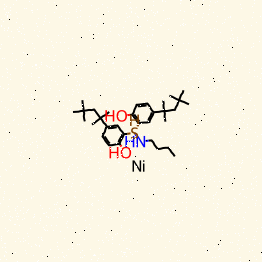 CCCCN[SH](c1cc(C(C)(C)CC(C)(C)C)ccc1O)c1cc(C(C)(C)CC(C)(C)C)ccc1O.[Ni]